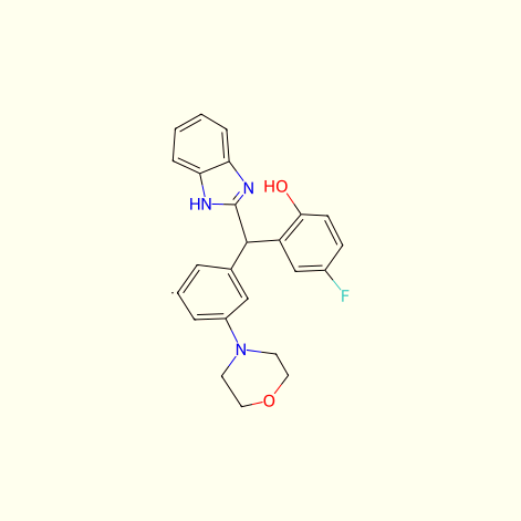 Oc1ccc(F)cc1C(c1c[c]cc(N2CCOCC2)c1)c1nc2ccccc2[nH]1